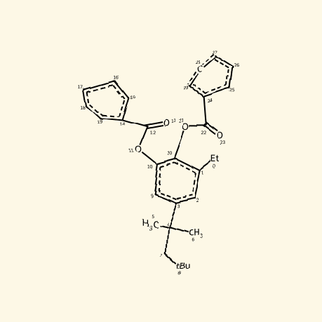 CCc1cc(C(C)(C)CC(C)(C)C)cc(OC(=O)c2ccccc2)c1OC(=O)c1ccccc1